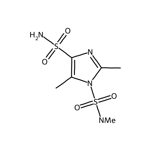 CNS(=O)(=O)n1c(C)nc(S(N)(=O)=O)c1C